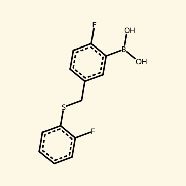 OB(O)c1cc(CSc2ccccc2F)ccc1F